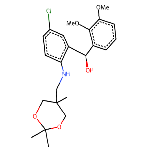 COc1cccc([C@@H](O)c2cc(Cl)ccc2NCC2(C)COC(C)(C)OC2)c1OC